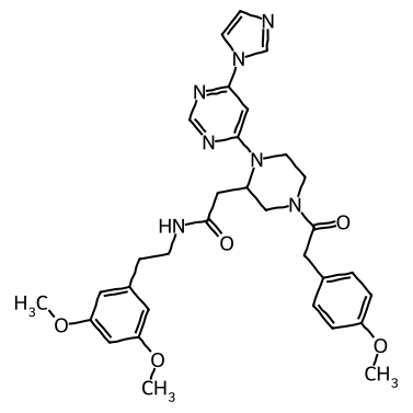 COc1ccc(CC(=O)N2CCN(c3cc(-n4ccnc4)ncn3)C(CC(=O)NCCc3cc(OC)cc(OC)c3)C2)cc1